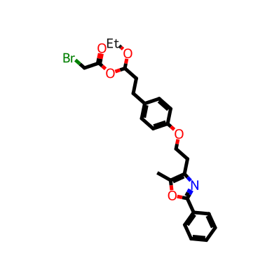 CCOC(CCc1ccc(OCCc2nc(-c3ccccc3)oc2C)cc1)OC(=O)CBr